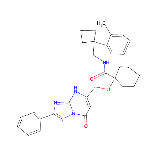 Cc1ccccc1C1(CNC(=O)C2(OCc3cc(=O)n4nc(-c5ccccc5)nc4[nH]3)CCCCC2)CCC1